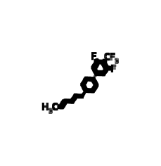 C/C=C/CCC[C@H]1CC[C@H](c2cc(F)c(C(F)(F)F)c(F)c2)CC1